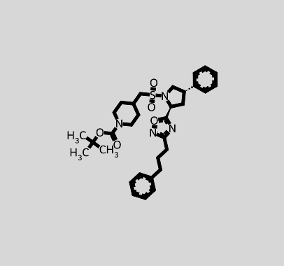 CC(C)(C)OC(=O)N1CCC(CS(=O)(=O)N2C[C@H](c3ccccc3)C[C@H]2c2nc(CCCc3ccccc3)no2)CC1